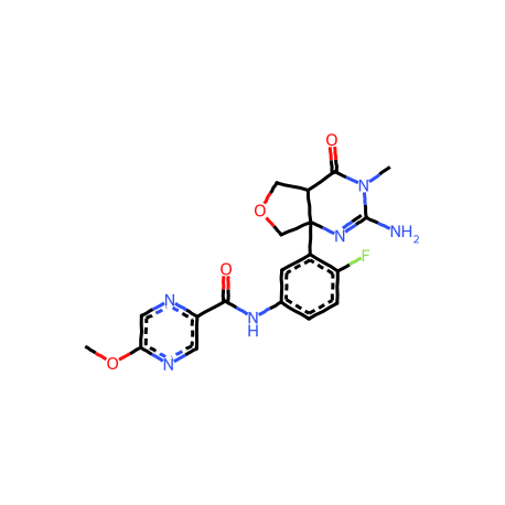 COc1cnc(C(=O)Nc2ccc(F)c(C34COCC3C(=O)N(C)C(N)=N4)c2)cn1